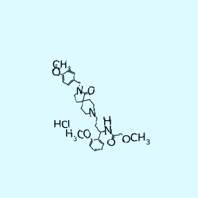 COCC(=O)NC(CCN1CCC2(CC1)CCN(Cc1ccc(OC)cc1)C2=O)c1ccccc1OC.Cl